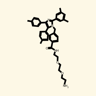 Cc1ccc(-c2nc(-c3cc(C)cc(C)c3)n(Cc3ccc(C(=O)NCCOCCOCCN)cc3)c2-c2ccc(C)cc2)cc1